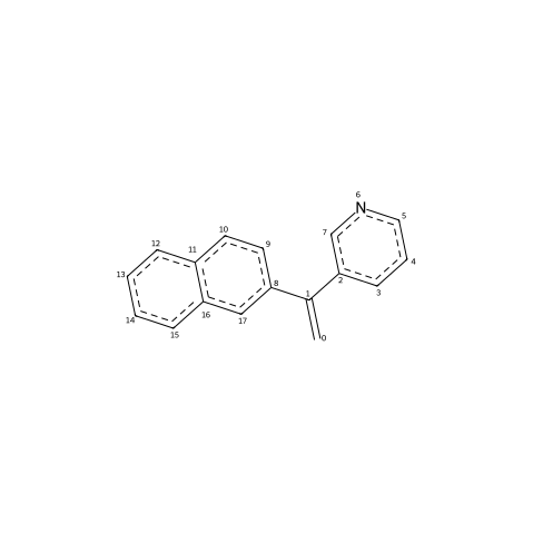 C=C(c1cccnc1)c1ccc2ccccc2c1